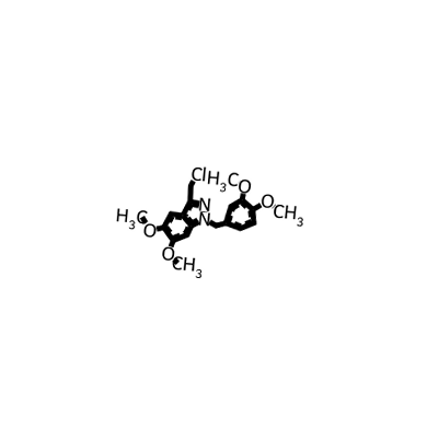 COc1ccc(Cn2nc(CCl)c3cc(OC)c(OC)cc32)cc1OC